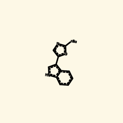 CCCCc1ncc(-c2c[nH]c3ccccc23)o1